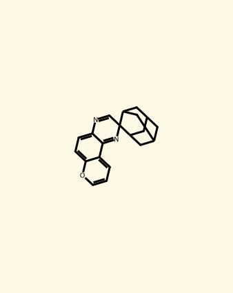 C1=COc2ccc3c(c2=C1)=NC1(C=N3)C2CC3CC(C2)CC1C3